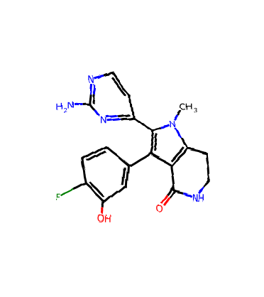 Cn1c2c(c(-c3ccc(F)c(O)c3)c1-c1ccnc(N)n1)C(=O)NCC2